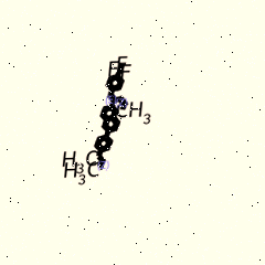 C/C=C\C(=C/c1ccc(C(F)(F)F)cc1)c1ccc2cc(-c3ccc(C(C)/C=C\C)cc3)ccc2c1